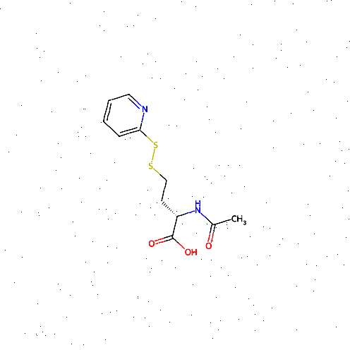 CC(=O)N[C@@H](CCSSc1ccccn1)C(=O)O